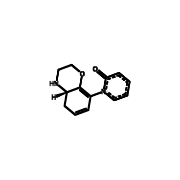 O=c1ccccn1C1=C2OCCN[C@H]2CC=C1